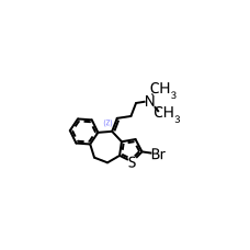 CN(C)CC/C=C1/c2ccccc2CCc2sc(Br)cc21